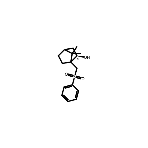 CC1(C)C2CCC1(CS(=O)(=O)c1ccccc1)[C@H](O)C2